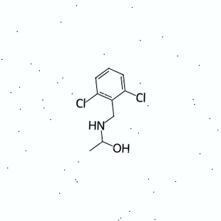 CC(O)NCc1c(Cl)cccc1Cl